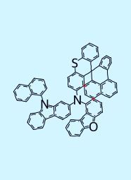 c1ccc2c(c1)Sc1ccc(N(c3ccc4c5ccccc5n(-c5cccc6ccccc56)c4c3)c3cccc4oc5ccccc5c34)cc1C21c2ccccc2-c2cccc3cccc1c23